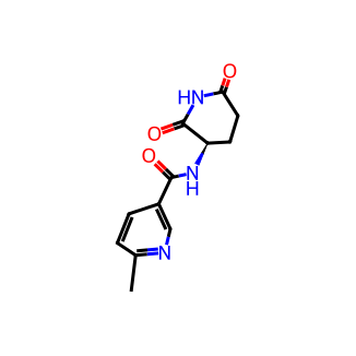 Cc1ccc(C(=O)N[C@@H]2CCC(=O)NC2=O)cn1